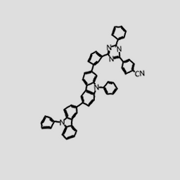 N#Cc1ccc(-c2nc(-c3ccccc3)nc(-c3cccc(-c4ccc5c6cc(-c7ccc8c(c7)c7ccccc7n8-c7ccccc7)ccc6n(-c6ccccc6)c5c4)c3)n2)cc1